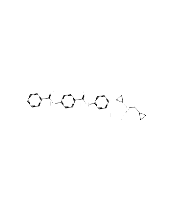 O=C(Nc1ccc(C(=O)Nc2ccc([C@@H]3C[C@H]3N(CC3CC3)C(=O)O)cc2)cc1)c1ccccc1